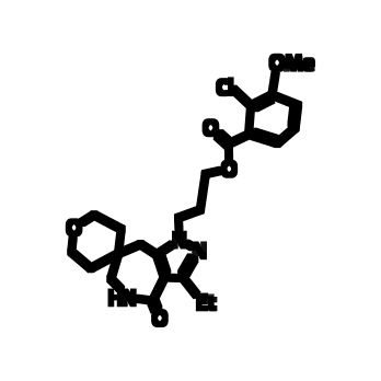 CCc1nn(CCCOC(=O)c2cccc(OC)c2Cl)c2c1C(=O)NCC1(CCOCC1)C2